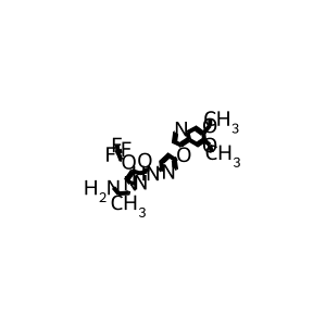 COc1cc2nccc(Oc3ccc(NC(=O)c4nn(CC(C)N)cc4OCC(F)(F)F)nc3)c2cc1OC